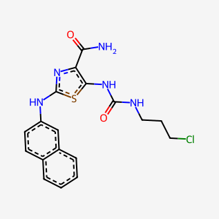 NC(=O)c1nc(Nc2ccc3ccccc3c2)sc1NC(=O)NCCCCl